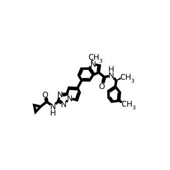 Cc1cccc([C@H](C)NC(=O)c2cn(C)c3ccc(-c4ccn5nc(NC(=O)C6CC6)nc5c4)cc23)c1